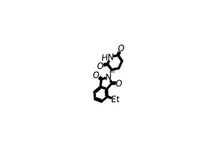 CCc1cccc2c1C(=O)N([C@H]1CCC(=O)NC1=O)C2=O